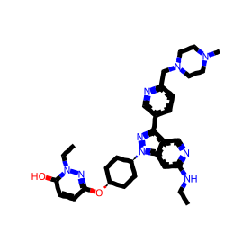 CCNc1cc2c(cn1)c(-c1ccc(CN3CCN(C)CC3)nc1)nn2[C@H]1CC[C@@H](OC2=NN(CC)C(O)C=C2)CC1